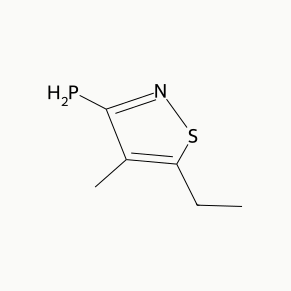 CCc1snc(P)c1C